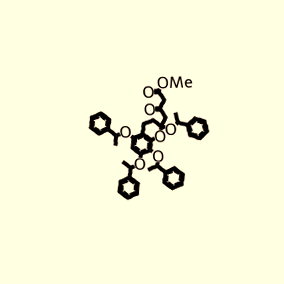 COC(=O)CC(=O)CC1(OC(C)c2ccccc2)CCc2c(OC(C)c3ccccc3)cc(OC(C)c3ccccc3)c(OC(C)c3ccccc3)c2O1